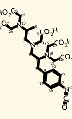 CC(CN(CC(=O)O)CC(Cc1ccc(N=C=O)cc1)N(CC(=O)O)CC(=O)O)N(CC(=O)O)CC(=O)O